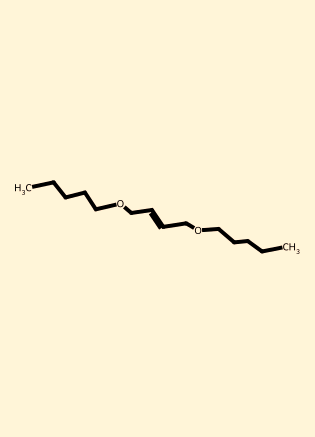 CCCCCOCC=CCOCCCCC